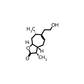 C[C@H]1C[C@@H]2OC(=O)[C@H](C)[C@H]2CC=C1CCO